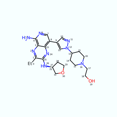 CCc1nc2c(N)ncc(-c3cnn(C4CCN(CCO)CC4)c3)c2nc1N[C@H]1CCOC1